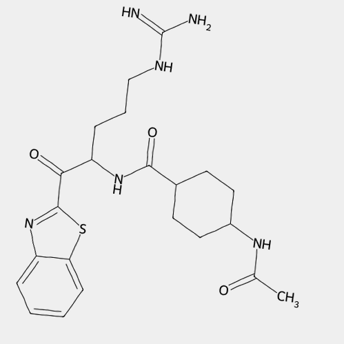 CC(=O)NC1CCC(C(=O)NC(CCCNC(=N)N)C(=O)c2nc3ccccc3s2)CC1